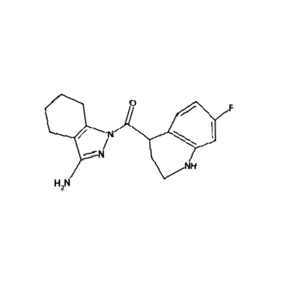 Nc1nn(C(=O)C2CCNc3cc(F)ccc32)c2c1CCCC2